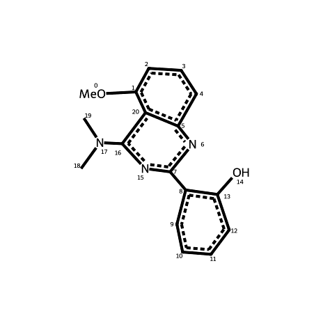 COc1cccc2nc(-c3ccccc3O)nc(N(C)C)c12